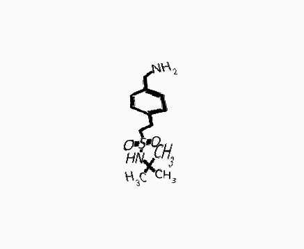 CC(C)(C)NS(=O)(=O)CCc1ccc(CN)cc1